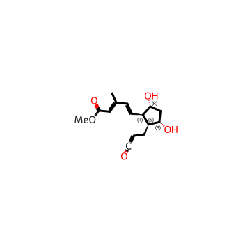 COC(=O)C=C(C)C=C[C@@H]1[C@H](CC=C=O)[C@@H](O)C[C@H]1O